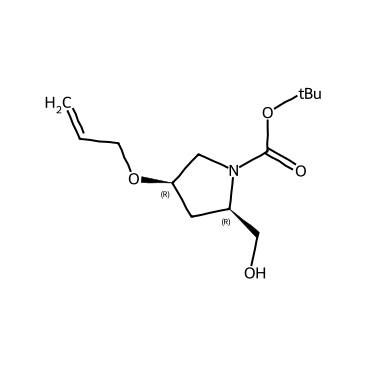 C=CCO[C@@H]1C[C@H](CO)N(C(=O)OC(C)(C)C)C1